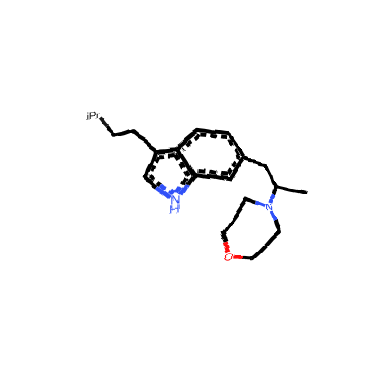 CC(C)CCc1c[nH]c2cc(CC(C)N3CCOCC3)ccc12